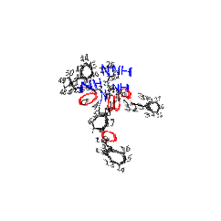 O=C(CN(Cc1ccc(OCc2ccccc2)cc1)C(=O)[C@H](Cc1c[nH]cn1)NC(=O)OCc1ccccc1)NCC1(c2ccccc2)CCC1